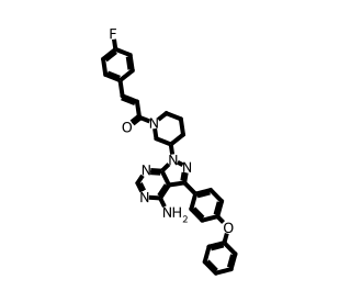 Nc1ncnc2c1c(-c1ccc(Oc3ccccc3)cc1)nn2C1CCCN(C(=O)C=Cc2ccc(F)cc2)C1